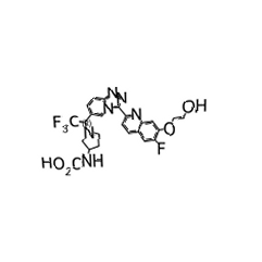 O=C(O)NC1CCN([C@H](c2ccc3nnc(-c4ccc5cc(F)c(OCCO)cc5n4)n3c2)C(F)(F)F)C1